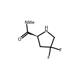 CNC(=O)[C@@H]1CC(F)(F)CN1